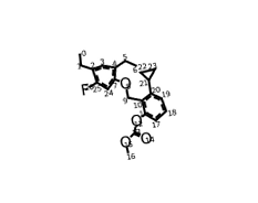 CCc1cc(CC)c(OCc2c(OC(=O)OC)cccc2C2CC2)cc1F